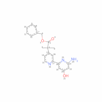 CC(C)(C(=O)OCc1ccccc1)c1ccnc(-c2cc(O)cc(N)n2)c1